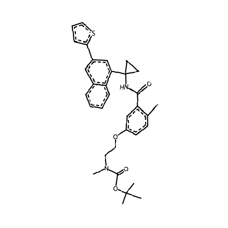 Cc1ccc(OCCN(C)C(=O)OC(C)(C)C)cc1C(=O)NC1(c2cc(-c3cccs3)cc3ccccc23)CC1